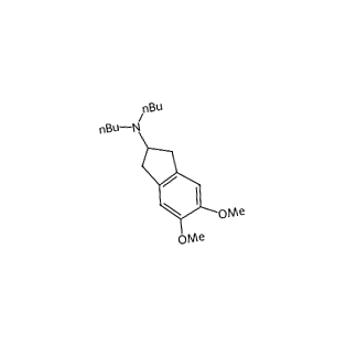 CCCCN(CCCC)C1Cc2cc(OC)c(OC)cc2C1